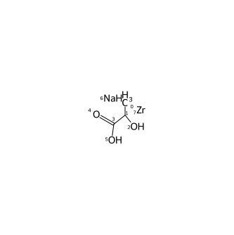 CC(O)C(=O)O.[NaH].[Zr]